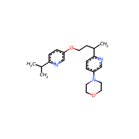 CC(C)c1ccc(OCCC(C)c2ccc(N3CCOCC3)cn2)cn1